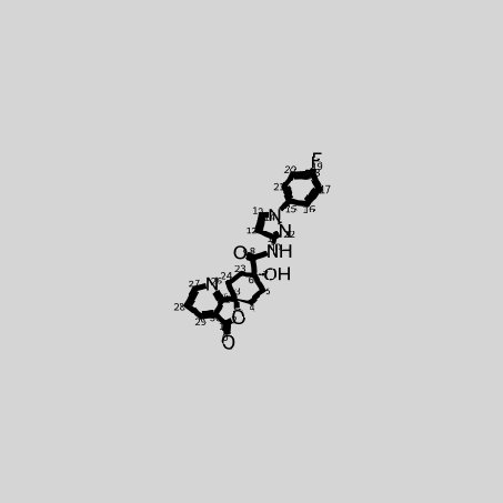 O=C1O[C@]2(CC[C@](O)(C(=O)Nc3ccn(-c4ccc(F)cc4)n3)CC2)c2ncccc21